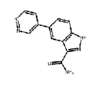 NC(=O)c1n[nH]c2ccc(-c3ccnnc3)cc12